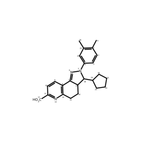 Cc1ccc(N2N=C3c4ccc(C(=O)O)nc4CCC3C2C2CCCC2)cc1C